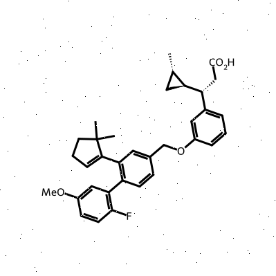 COc1ccc(F)c(-c2ccc(COc3cccc([C@@H](CC(=O)O)[C@H]4C[C@@H]4C)c3)cc2C2=CCCC2(C)C)c1